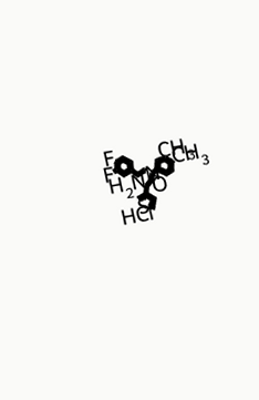 Cc1ccc(N(CCc2ccc(F)c(F)c2)C(=O)C(N)c2ccsc2)cc1C.Cl